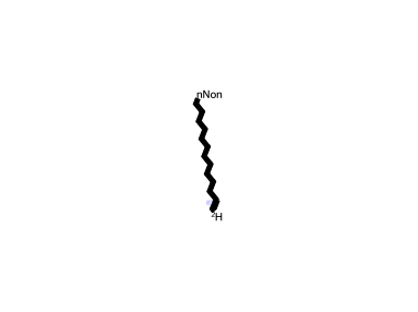 [2H]/C=C/CCCCCCCCCCCCCCCCCCCC